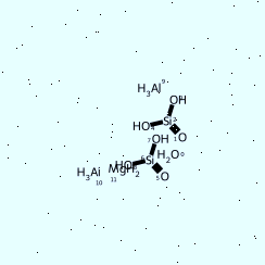 O.O=[Si](O)O.O=[Si](O)O.[AlH3].[AlH3].[MgH2]